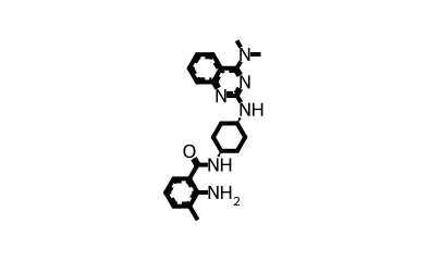 Cc1cccc(C(=O)N[C@H]2CC[C@@H](Nc3nc(N(C)C)c4ccccc4n3)CC2)c1N